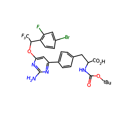 CC(C)(C)OC(=O)NC(Cc1ccc(-c2cc(OC(c3ccc(Br)cc3F)C(F)(F)F)nc(N)n2)cc1)C(=O)O